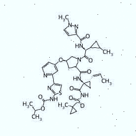 C/C=C\[C@@H]1C[C@]1(NC(=O)C1C[C@@H](Oc2ccnc(-c3csc(NC(=O)OC(C)C)n3)c2)CN1C(=O)[C@@H](NC(=O)c1ccn(C)n1)C1CC1C)C(=O)NS(=O)(=O)C1(C)CC1